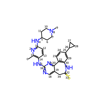 Cc1nc(NC2CCN(C)CC2)ccc1Nc1ncc2c(n1)-c1ccc(C3CC3)cc1NC(=S)C2